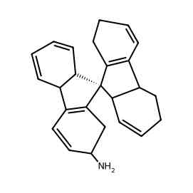 NC1C=CC2=C(C1)[C@]1(C3=C(C=CCC3)C3CCC=CC31)C1C=CC=CC21